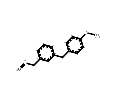 COc1ccc(Cc2[c]ccc(C[S+]=O)c2)cc1